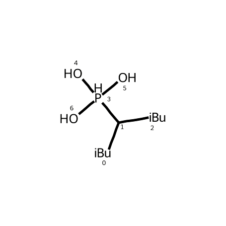 CCC(C)C(C(C)CC)[PH](O)(O)O